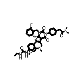 CCNC(=O)Nc1ccc(-c2sc3c(c2CN(C)CCOC)c(=O)n(-c2ccc(CC(=O)N(C)C)cc2)c(=O)n3Cc2c(F)cccc2F)cc1